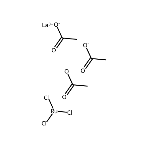 CC(=O)[O-].CC(=O)[O-].CC(=O)[O-].[Cl][Ru]([Cl])[Cl].[La+3]